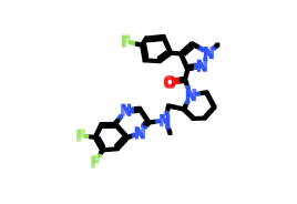 CN(CC1CCCCN1C(=O)c1nn(C)cc1-c1ccc(F)cc1)c1cnc2cc(F)c(F)cc2n1